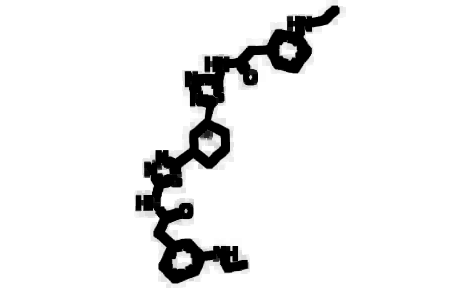 CCNc1cccc(CC(=O)Nc2nnc(C3CCC[C@H](c4nnc(NC(=O)Cc5cccc(NCC)c5)s4)C3)s2)c1